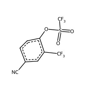 N#Cc1ccc(OS(=O)(=O)C(F)(F)F)c(C(F)(F)F)c1